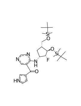 CC(C)(C)[Si](C)(C)OC[C@H]1C[C@@H](Nc2ncncc2C(=O)c2cc[nH]c2)[C@@H](F)[C@@H]1O[Si](C)(C)C(C)(C)C